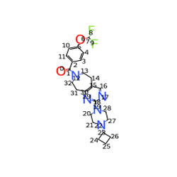 O=C(c1ccc(OC(F)F)cc1)N1CCc2cnc(N3CCN(C4CCC4)CC3)nc2CC1